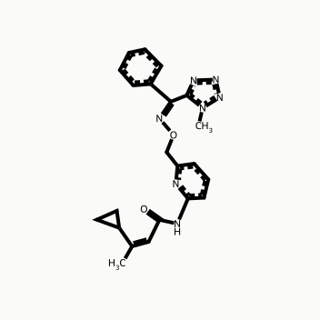 CC(=CC(=O)Nc1cccc(CON=C(c2ccccc2)c2nnnn2C)n1)C1CC1